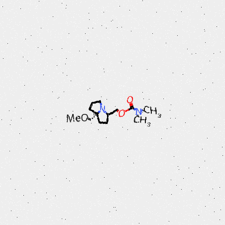 COC[C@]12CCCN1C(COC(=O)N(C)C)CC2